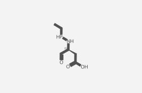 CCPN[C@H](C=O)CC(=O)O